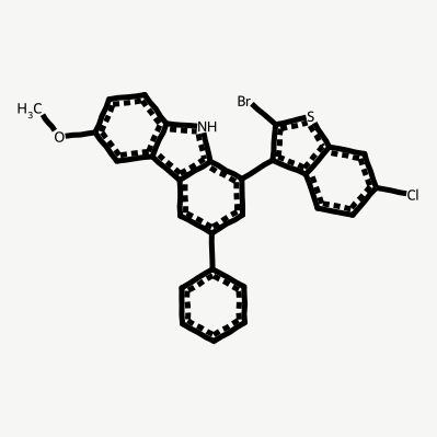 COc1ccc2[nH]c3c(-c4c(Br)sc5cc(Cl)ccc45)cc(-c4ccccc4)cc3c2c1